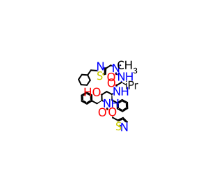 CC(C)[C@H](NC(=O)N(C)Cc1csc(CC2CCCCC2)n1)C(=O)N[C@@H](Cc1ccccc1)C[C@H](O)[C@H](Cc1ccccc1)NC(=O)OCc1ccns1